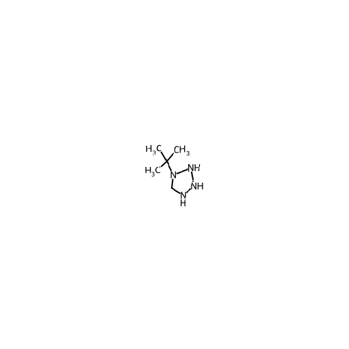 CC(C)(C)N1CNNN1